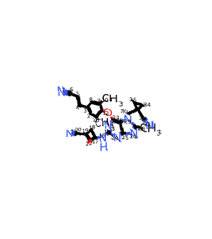 Cc1cc(/C=C/C#N)cc(C)c1Oc1nc(NC23CC(C#N)(C2)C3)nc2nc(C)n(CC3(C#N)CC3)c12